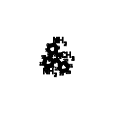 CN1C2=CC(N)=CCC2=c2ccc(N)cc2=C1c1ccccc1